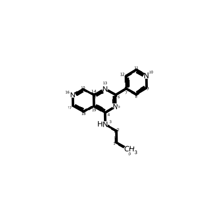 CCCNc1nc(-c2ccncc2)nc2cnccc12